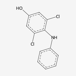 Oc1cc(Cl)c(Nc2ccccc2)c(Cl)c1